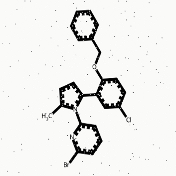 Cc1ccc(-c2cc(Cl)ccc2OCc2ccccc2)n1-c1cccc(Br)n1